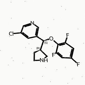 Fc1cc(F)c(O[C@H](c2cncc(Cl)c2)[C@@H]2CCNC2)c(F)c1